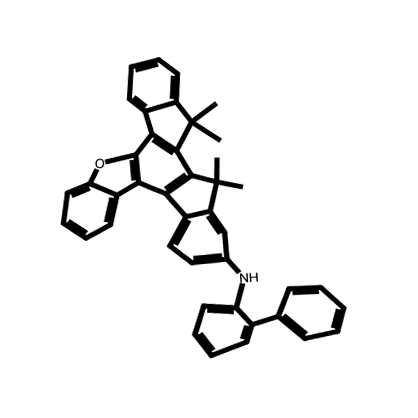 CC1(C)c2ccccc2-c2c1c1c(c3c2oc2ccccc23)-c2ccc(Nc3ccccc3-c3ccccc3)cc2C1(C)C